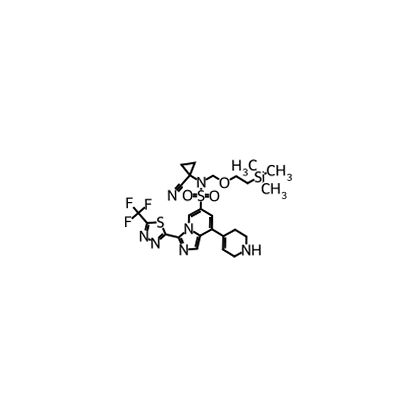 C[Si](C)(C)CCOCN(C1(C#N)CC1)S(=O)(=O)c1cc(C2=CCNCC2)c2cnc(-c3nnc(C(F)(F)F)s3)n2c1